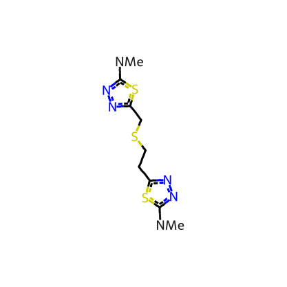 CNc1nnc(CCSCc2nnc(NC)s2)s1